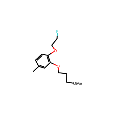 COCCCOc1cc(C)ccc1OCCF